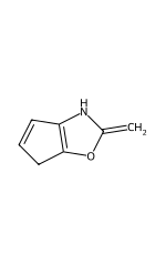 C=C1NC2=C(CC=C2)O1